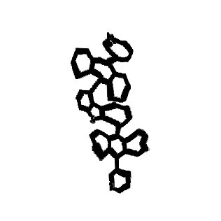 c1cncc(-c2c3ccccc3c(-c3cccc4c3sc3cccc(-c5c6ccccc6c(-c6cccnc6)c6ccccc56)c34)c3ccccc23)c1